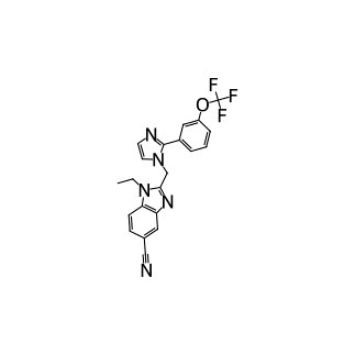 CCn1c(Cn2ccnc2-c2cccc(OC(F)(F)F)c2)nc2cc(C#N)ccc21